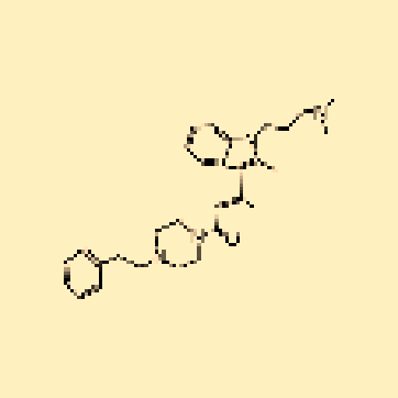 CC(=CC(=O)N1CCN(CCc2ccccc2)CC1)c1c(C)n(CCCN(C)C)c2ccccc12